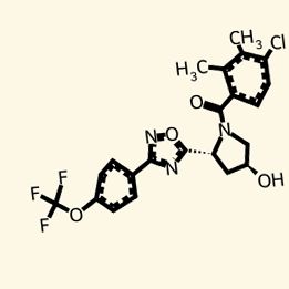 Cc1c(Cl)ccc(C(=O)N2C[C@@H](O)C[C@@H]2c2nc(-c3ccc(OC(F)(F)F)cc3)no2)c1C